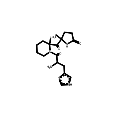 CC1(C(=O)C2(C(=O)O)CCCCN2C(=O)C(N)Cc2c[nH]cn2)CCC(=O)N1